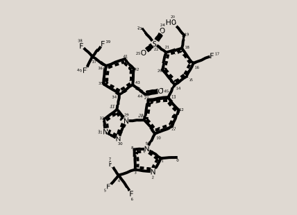 Cc1nc(C(F)(F)F)cn1-c1ccc(-c2cc(F)c(CO)c(S(C)(=O)=O)c2)cc1-n1nncc1-c1cc(C(F)(F)F)ccc1C=O